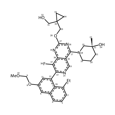 CCc1cccc2cc(OCOC)cc(-c3ncc4c(N5CCC[C@@](C)(O)C5)nc(OCC5(CO)CC5)nc4c3F)c12